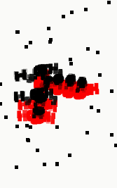 CC(C)COC(=O)c1ccccc1C(=O)OCC(C)C.O=C(O)c1ccccc1C(=O)O.O=C(O)c1ccccc1C(=O)O.O=C(O)c1ccccc1C(=O)O.O=C(O)c1ccccc1C(=O)O.O=C(O)c1ccccc1C(=O)O